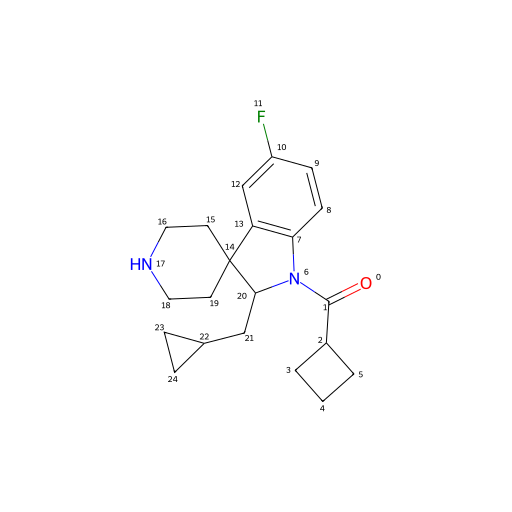 O=C(C1CCC1)N1c2ccc(F)cc2C2(CCNCC2)C1CC1CC1